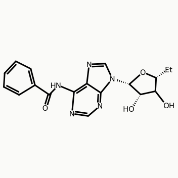 CC[C@H]1O[C@@H](n2cnc3c(NC(=O)c4ccccc4)ncnc32)[C@@H](O)C1O